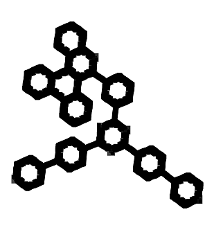 c1cc(-c2nc(-c3ccc(-c4ccncc4)cc3)nc(-c3ccc(-c4ccncc4)cc3)n2)cc(-c2nc3ccccc3c3c4ccccc4c4ccccc4c23)c1